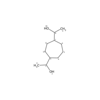 CC(O)C1CCCC(C(C)O)CC1